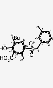 Cc1cccc(CS(=O)(=O)c2cc(C(C)(C)C)c(O)c(C(=O)O)c2C)c1